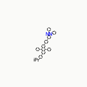 CC(C)c1ccc(-c2ccc3c(-c4ccccc4)c4cc(-c5ccc(-c6ccc7c(c6)nc(-c6ccccc6)n7-c6ccccc6)cc5)ccc4c(-c4ccccc4)c3c2)cc1